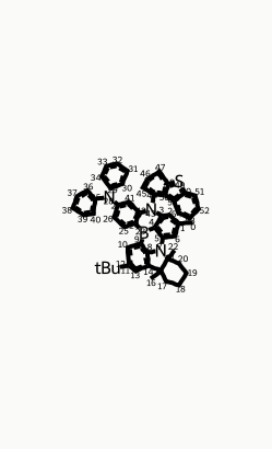 Cc1cc2c3c(c1)N1c4c(cc(C(C)(C)C)cc4C4(C)CCCCC14C)B3c1ccc(N(c3ccccc3)c3ccccc3)cc1N2c1cccc2sc3ccccc3c12